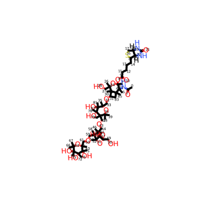 CC(=O)NC1(C)C(C)(OC(=O)CCCCC2SC[C@@H]3NC(=O)N[C@H]23)OC(C)(CO)C2(C)C(OCC3(C)OC(C)(C)C(C)(COCC4(C)OC5(CO)OC(C)(C5(C)O)C4(C)COCC4(C)OC(C)(C)C(C)(O)C(C)(O)C4(C)O)C(C)(O)C3(C)O)CC12C